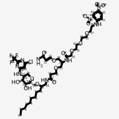 CCCCCCCCCC(CNC(=O)CCOCC(COC=CC(N)=O)NC(=O)COCCOCCOCCNc1ccc([N+](=O)[O-])cc1[N+](=O)[O-])OC[C@H]1OC[C@H](Nc2cc(Cl)nc(C(F)(F)F)n2)[C@@H](O)[C@H]1O